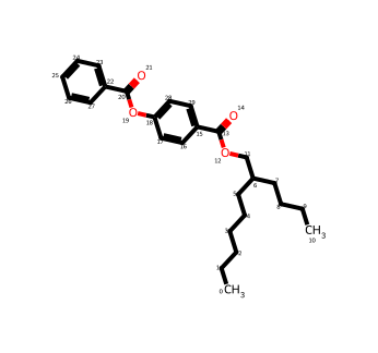 CCCCCCC(CCCC)COC(=O)c1ccc(OC(=O)c2ccccc2)cc1